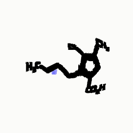 C/C=C/Cn1c(C(=O)O)cc(C)c1CC